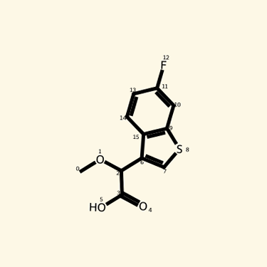 COC(C(=O)O)c1csc2cc(F)ccc12